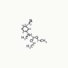 CCOC(CN(C)c1cccc(C#N)c1)OCC